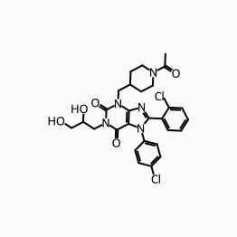 CC(=O)N1CCC(Cn2c(=O)n(CC(O)CO)c(=O)c3c2nc(-c2ccccc2Cl)n3-c2ccc(Cl)cc2)CC1